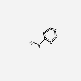 NNc1ccnnn1